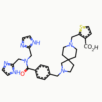 O=C(O)c1ccsc1CN1CCC2(CC1)CCN(Cc1ccc(C(=O)N(Cc3ncc[nH]3)Cc3ncc[nH]3)cc1)C2